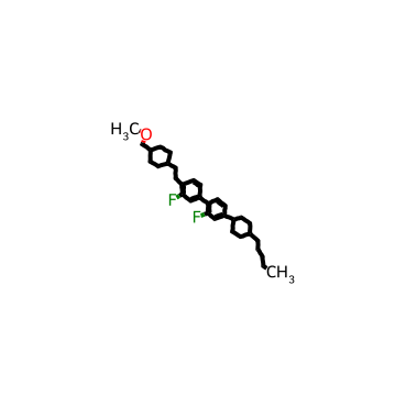 CCCCCC1CCC(c2ccc(-c3ccc(CCC4CCC(COC)CC4)c(F)c3)c(F)c2)CC1